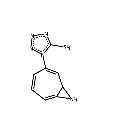 Sc1nnnn1C1=CC2NC2=CC=C1